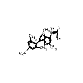 CCC(CC)Nc1cc(C)nc2c(-c3c(C)cc(C)cc3C)cn(C)c12